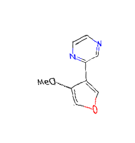 COc1[c]occ1-c1cnccn1